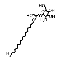 CCCCCCCCCCCCCCCCOC[C@@H](CO)COC1OC(CO)C(O)C(O)C1N